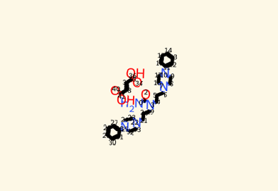 NC(=O)N(CCCN1CCN(c2ccccc2)CC1)CCCN1CCN(c2ccccc2)CC1.O=C(O)C=CC(=O)O